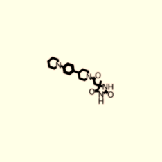 CC1(CC(=O)N2CCC(c3ccc(N4CCCCC4)cc3)CC2)NC(=O)NC1=O